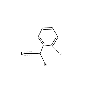 N#CC(Br)c1ccccc1F